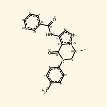 C[C@@H]1CN(c2ccc(C(F)(F)F)cc2)C(=O)c2c(NC(=O)c3cccnc3)cnn21